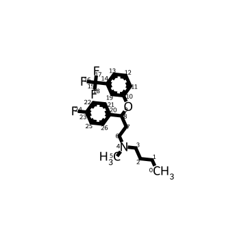 CCCCN(C)CCC(Oc1cccc(C(F)(F)F)c1)c1ccc(F)cc1